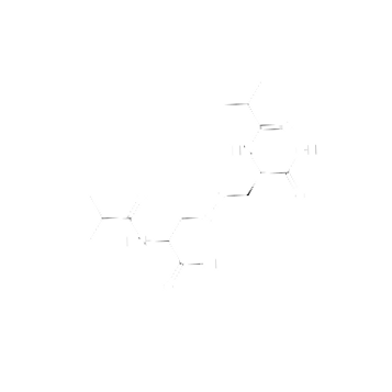 CC(C)C(=O)NC(CSSC[C@@H](NC(=O)C(C)C)C(=O)O)C(=O)O